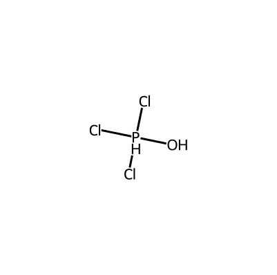 O[PH](Cl)(Cl)Cl